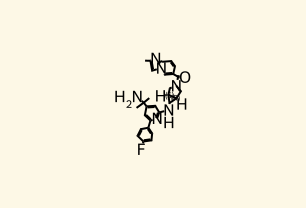 Cc1cn2cc(C(=O)N3C[C@@H]4C(Nc5cc(C(C)(C)N)cc(-c6ccc(F)cc6)n5)[C@@H]4C3)ccc2n1